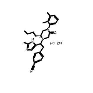 CCCC[C@H]1CN(c2cccc(C)c2C)C(=O)CN1C(Cc1ccc(C#N)cc1)c1cnc(C)[nH]1.Cl.Cl